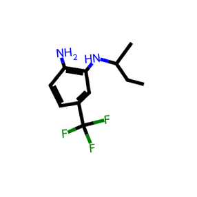 CCC(C)Nc1cc(C(F)(F)F)ccc1N